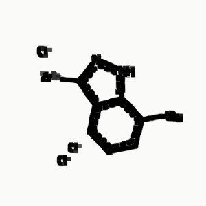 CC(C)(C)c1cccc2[c]([Zr+3])n[nH]c12.[Cl-].[Cl-].[Cl-]